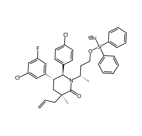 C=CC[C@@]1(C)C[C@H](c2cc(F)cc(Cl)c2)[C@@H](c2ccc(Cl)cc2)N([C@@H](C)CCO[Si](c2ccccc2)(c2ccccc2)C(C)(C)C)C1=O